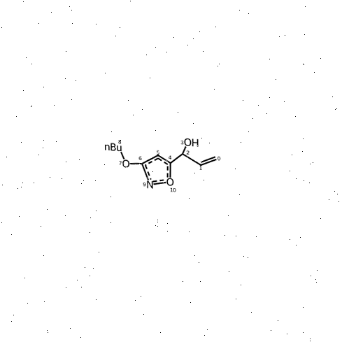 C=CC(O)c1cc(OCCCC)no1